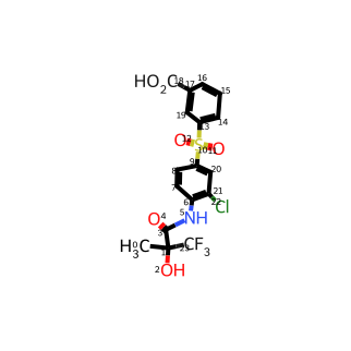 CC(O)(C(=O)Nc1ccc(S(=O)(=O)c2cccc(C(=O)O)c2)cc1Cl)C(F)(F)F